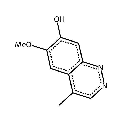 COc1cc2c(C)cnnc2cc1O